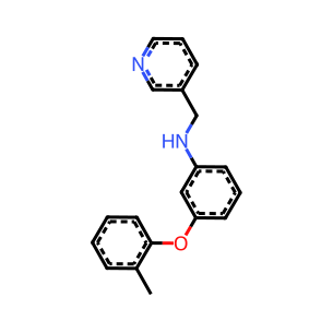 Cc1ccccc1Oc1cccc(NCc2cccnc2)c1